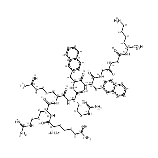 CC(=O)N[C@@H](CCCNC(=N)N)C(=O)N[C@@H](CCCNC(=N)N)C(=O)N[C@@H](CCCNC(=N)N)C(=O)N[C@@H](CCCNC(=N)N)C(=O)N[C@@H](Cc1ccc2ccccc2c1)C(=O)N[C@H](Cc1ccc2ccccc2c1)C(=O)NCC(=O)NCC(=O)N[C@@H](CCCCN)C(=O)O